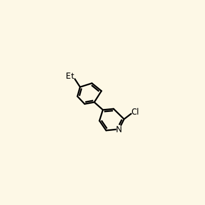 CCc1ccc(-c2ccnc(Cl)c2)cc1